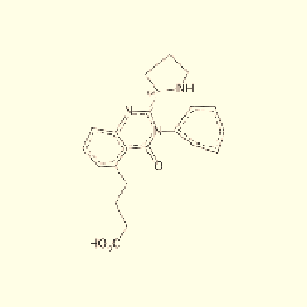 O=C(O)CCCc1cccc2nc([C@@H]3CCCN3)n(-c3ccccc3)c(=O)c12